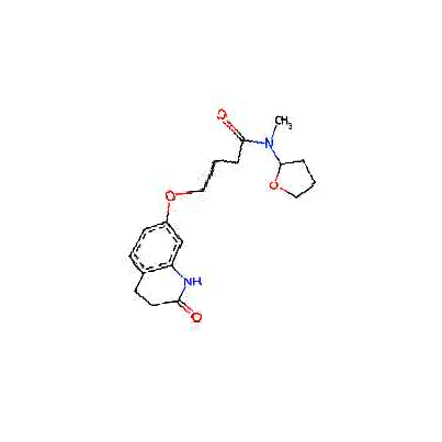 CN(C(=O)CCCOc1ccc2c(c1)NC(=O)CC2)C1CCCO1